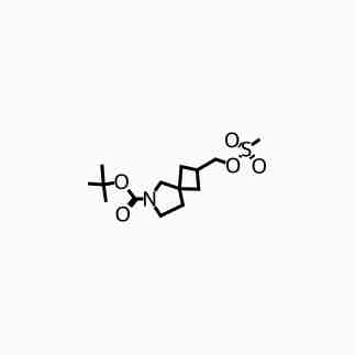 CC(C)(C)OC(=O)N1CCC2(CC(COS(C)(=O)=O)C2)C1